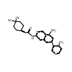 Cc1ccncc1-c1cc(N)c2cnc(NC(=O)C=C3CCC(C#N)(C#N)CC3)cc2c1